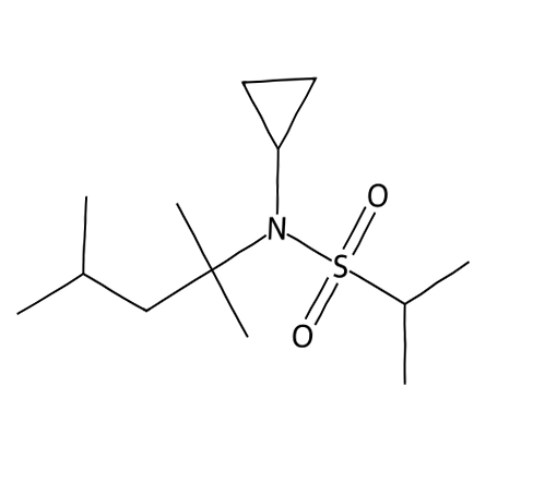 CC(C)CC(C)(C)N(C1CC1)S(=O)(=O)C(C)C